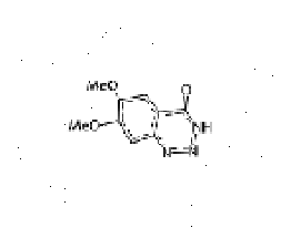 COc1cc2nn[nH]c(=O)c2cc1OC